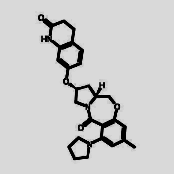 Cc1cc2c(c(N3CCCC3)c1)C(=O)N1C[C@@H](Oc3ccc4c(c3)NC(=O)CC4)C[C@@H]1CO2